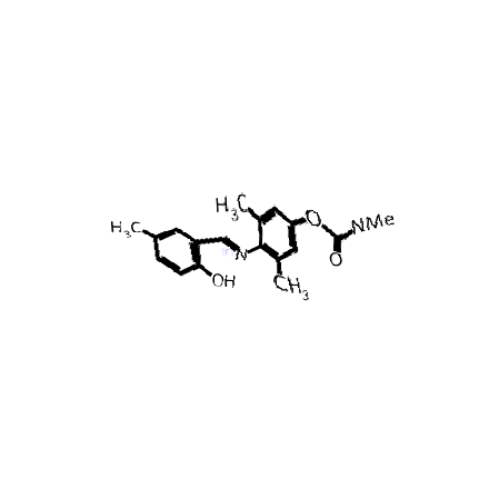 CNC(=O)Oc1cc(C)c(/N=C/c2cc(C)ccc2O)c(C)c1